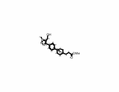 COC(=O)CCC12CCC(c3ccc(-c4nnn(C)c4CO)cc3)(CC1)CO2